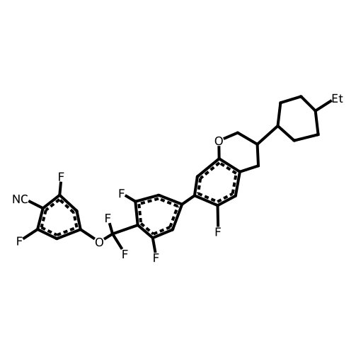 CCC1CCC(C2COc3cc(-c4cc(F)c(C(F)(F)Oc5cc(F)c(C#N)c(F)c5)c(F)c4)c(F)cc3C2)CC1